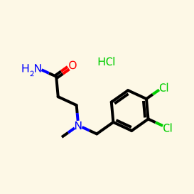 CN(CCC(N)=O)Cc1ccc(Cl)c(Cl)c1.Cl